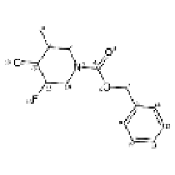 CC1CN(C(=O)OCc2ccccc2)CC(F)C1=O